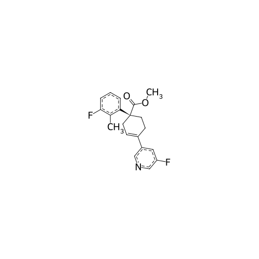 COC(=O)[C@@]1(c2cccc(F)c2C)CC=C(c2cncc(F)c2)CC1